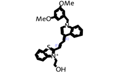 COc1cc(CN2C=C/C(=C\C=C\c3sc4ccccc4[n+]3CCO)c3ccccc32)cc(OC)c1